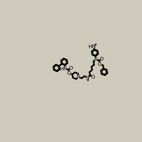 CNc1ccc(N(CCCCCC(=O)N(C)CCN2CCC(OC(=O)Nc3ccccc3-c3ccccc3)CC2)C(=O)OCc2ccccc2)cc1